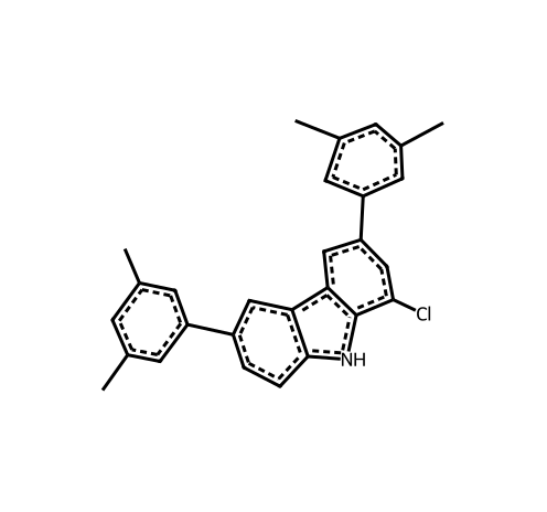 Cc1cc(C)cc(-c2ccc3[nH]c4c(Cl)cc(-c5cc(C)cc(C)c5)cc4c3c2)c1